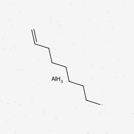 [AlH3].[CH2]CCCCCCC=C